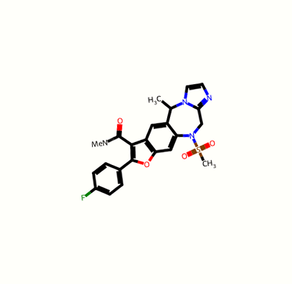 CNC(=O)c1c(-c2ccc(F)cc2)oc2cc3c(cc12)C(C)n1ccnc1CN3S(C)(=O)=O